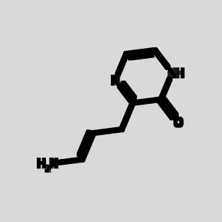 NC=CCc1ncc[nH]c1=O